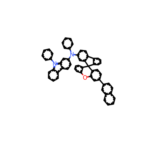 c1ccc(N(c2ccc3c(c2)C2(c4ccccc4Oc4cc(-c5ccc6ccccc6c5)ccc42)c2ccccc2-3)c2ccc3c4ccccc4n(-c4ccccc4)c3c2)cc1